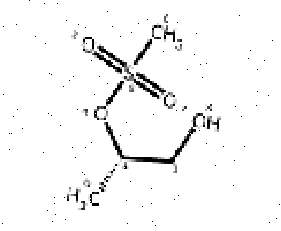 C[C@@H](CO)OS(C)(=O)=O